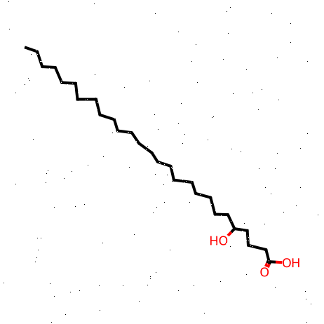 CCCCCCCCCCCCCCCCCCCCCCC(O)CCCC(=O)O